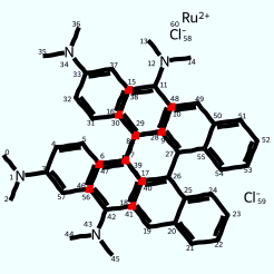 CN(C)c1ccc(P(c2ccc(N(C)C)cc2)c2ccc3ccccc3c2-c2c(P(c3ccc(N(C)C)cc3)c3ccc(N(C)C)cc3)ccc3ccccc23)cc1.[Cl-].[Cl-].[Ru+2]